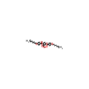 CCCCCCCOc1ccc(C(=O)Oc2ccc(OC(=O)c3ccc(OCCCCCCC)cc3)c(C(=O)O)c2)cc1